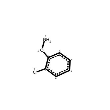 NOc1ccccc1Cl